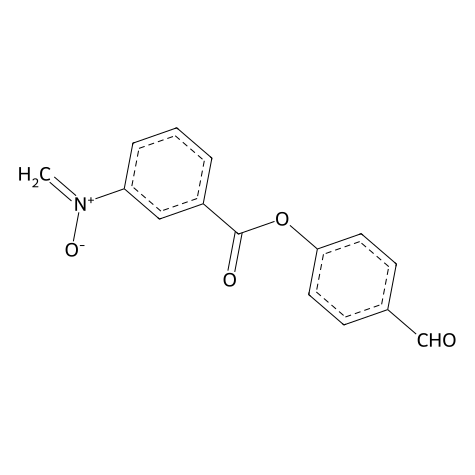 C=[N+]([O-])c1cccc(C(=O)Oc2ccc(C=O)cc2)c1